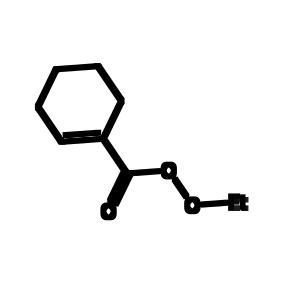 CCOOC(=O)C1=CCCCC1